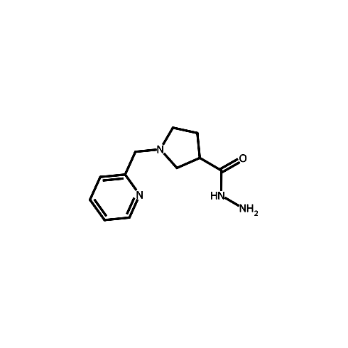 NNC(=O)C1CCN(Cc2ccccn2)C1